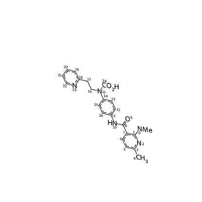 CNc1nc(C)ccc1C(=O)Nc1ccc(N(CCc2ccccn2)C(=O)O)cc1